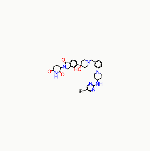 CC(C)c1cnc(NC2CCN(c3cccc(CN4CCC(O)(c5ccc6c(c5)CN(C5CCC(=O)NC5=O)C6=O)CC4)c3)CC2)nc1